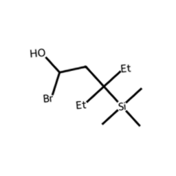 CCC(CC)(CC(O)Br)[Si](C)(C)C